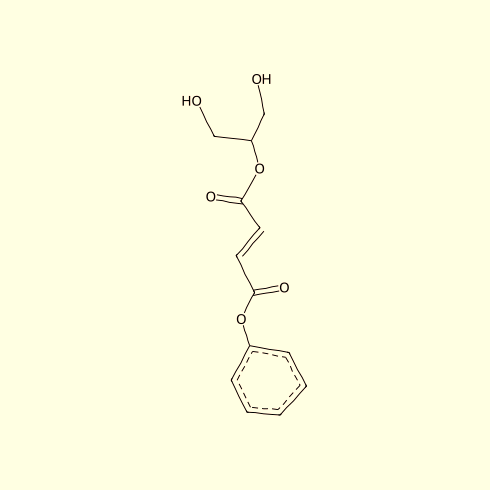 O=C(/C=C/C(=O)OC(CO)CO)Oc1ccccc1